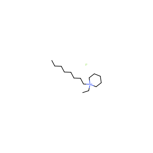 CCCCCCCC[N+]1(CC)CCCCC1.[F-]